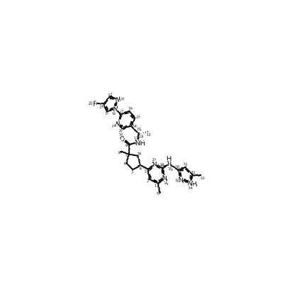 Cc1cc(C2CCC(C)(C(=O)N[C@@H](C)c3ccc(-n4cc(F)cn4)nc3)C2)nc(Nc2cc(C)[nH]n2)n1